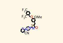 COc1cc(/C=C2\SC(N3CCN(c4ncccc4C#N)CC3)=NC2=O)ccc1OCc1ccc(C(F)(F)F)cc1C(F)(F)F